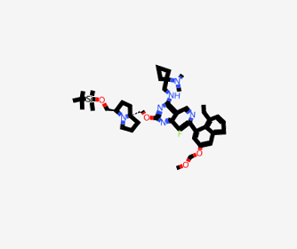 CCc1cccc2cc(OCOC)cc(-c3ncc4c(NCC5(N(C)C)CCC5)nc(OC[C@]56CCCN5[C@@H](CO[Si](C)(C)C(C)(C)C)CC6)nc4c3F)c12